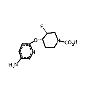 Nc1ccc(O[C@H]2CCN(C(=O)O)C[C@H]2F)nc1